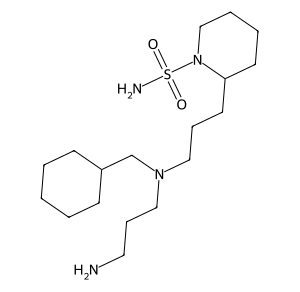 NCCCN(CCCC1CCCCN1S(N)(=O)=O)CC1CCCCC1